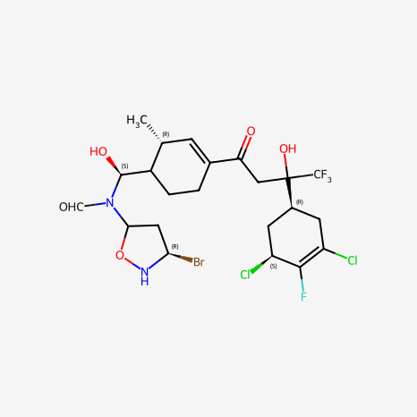 C[C@@H]1C=C(C(=O)CC(O)([C@H]2CC(Cl)=C(F)[C@@H](Cl)C2)C(F)(F)F)CCC1[C@H](O)N(C=O)C1C[C@@H](Br)NO1